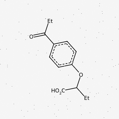 CCC(=O)c1ccc(OC(CC)C(=O)O)cc1